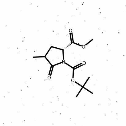 COC(=O)[C@H]1CC(C)C(=O)N1C(=O)OC(C)(C)C